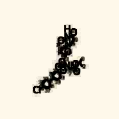 CC(C)OC(=O)[C@H](C)NP(=O)(OC[C@@H]1C[C@H](C)[C@H](n2ccc(=O)[nH]c2=O)O1)Oc1ccc(-c2ccc(Cl)cc2)cc1